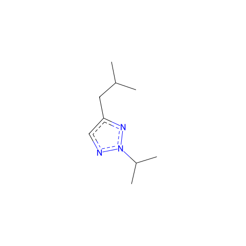 CC(C)Cc1cnn(C(C)C)n1